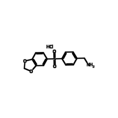 Cl.NCc1ccc(S(=O)(=O)c2ccc3c(c2)OCO3)cc1